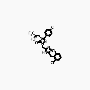 O=c1n(Cc2nnc(Cc3c(Cl)cccc3Cl)[nH]2)nc(-c2ccc(Cl)cc2)n1C[C@H](O)C(F)(F)F